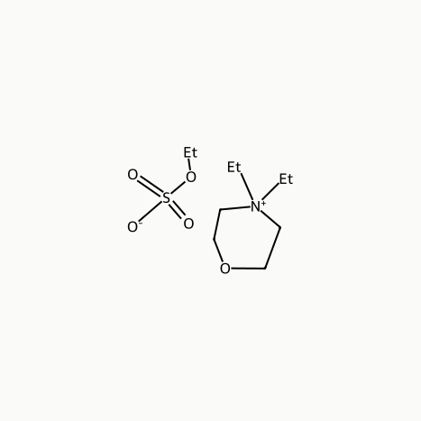 CCOS(=O)(=O)[O-].CC[N+]1(CC)CCOCC1